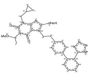 CCCCCc1nc2c(c(=O)n(C(C)OC)c(=O)n2CC2CC2)n1CCc1ccc(-c2ccccc2-c2nnn[nH]2)cc1